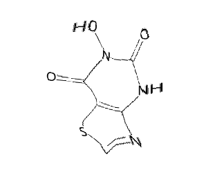 O=c1[nH]c2ncsc2c(=O)n1O